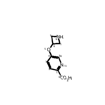 O=C(O)c1ccc(OC2CNC2)cn1